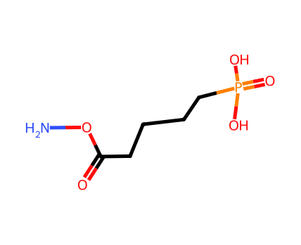 NOC(=O)CCCCP(=O)(O)O